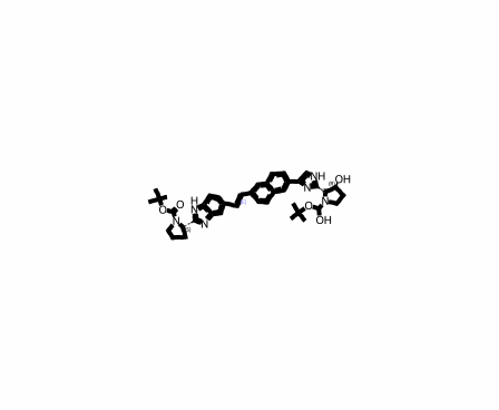 CC(C)(C)OC(=O)N1CCC[C@H]1c1nc2cc(/C=C/c3ccc4cc(-c5c[nH]c([C@@H]6[C@H](O)CCN6C(O)OC(C)(C)C)n5)ccc4c3)ccc2[nH]1